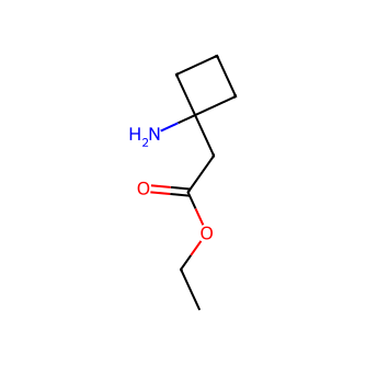 CCOC(=O)CC1(N)CCC1